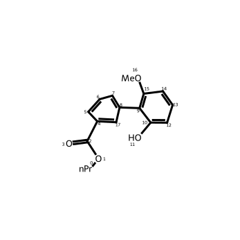 CCCOC(=O)c1cccc(-c2c(O)cccc2OC)c1